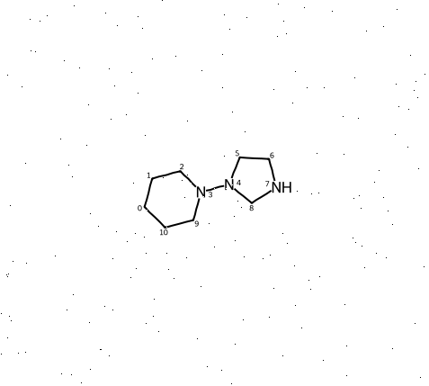 C1CCN(N2CCNC2)CC1